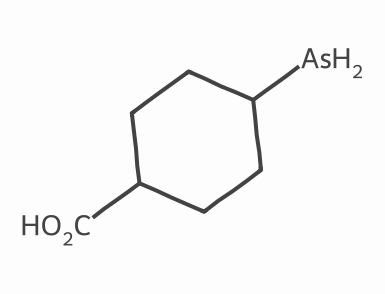 O=C(O)C1CCC([AsH2])CC1